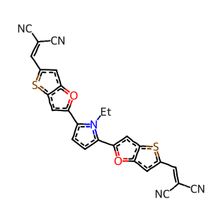 CCn1c(-c2cc3sc(C=C(C#N)C#N)cc3o2)ccc1-c1cc2sc(C=C(C#N)C#N)cc2o1